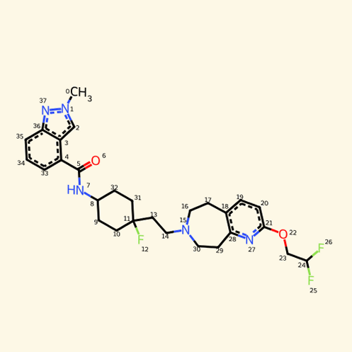 Cn1cc2c(C(=O)NC3CCC(F)(CCN4CCc5ccc(OCC(F)F)nc5CC4)CC3)cccc2n1